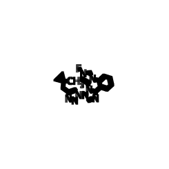 CC1(Cc2cn(N3C=NC4c5ccccc5N5CN(F)C=C5N43)nn2)CC1